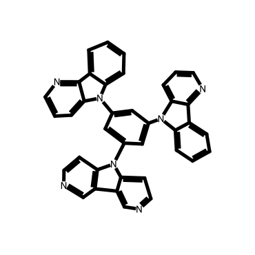 c1ccc2c(c1)c1ncccc1n2-c1cc(-n2c3ccncc3c3cnccc32)cc(-n2c3ccccc3c3ncccc32)c1